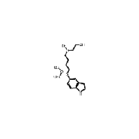 CC(C)(C)OC=O.CCN(CCO)CCCCOc1ccc2c(c1)CCN2